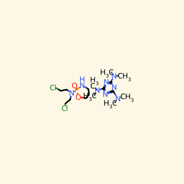 CN(C)c1nc(N(C)C)nc(N(C)C)n1.O=P1(N(CCCl)CCCl)NCCCO1